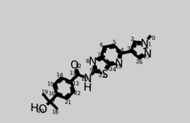 Cn1cc(-c2ccc3nc(NC(=O)c4ccc(C(C)(C)O)cc4)sc3n2)cn1